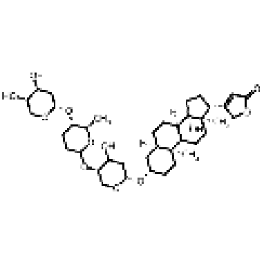 C[C@H]1OC(O[C@@H]2CO[C@@H](O[C@H]3CC[C@]4(C)C5CC[C@]6(C)[C@@H](C7=CC(=O)OC7)CC[C@]6(O)[C@@H]5CC[C@@H]4C3)C[C@@H]2O)CC[C@@H]1O[C@H]1C[C@H](O)[C@H](O)CO1